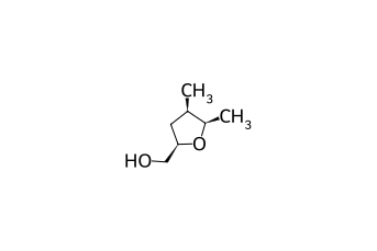 C[C@@H]1C[C@H](CO)O[C@@H]1C